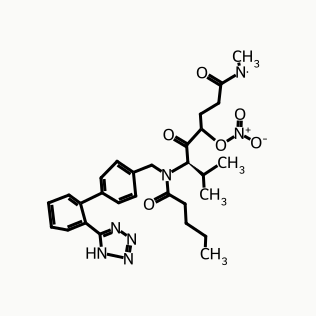 CCCCC(=O)N(Cc1ccc(-c2ccccc2-c2nnn[nH]2)cc1)[C@@H](C(=O)C(CCC(=O)[N]C)O[N+](=O)[O-])C(C)C